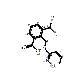 C/C=C\C(=N/CC)OCc1c(C(=O)Cl)cccc1C(F)F